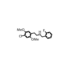 COc1cc(CCNCc2ccccc2F)c(OC)cc1Cl